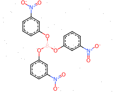 O=[N+]([O-])c1cccc(OB(Oc2cccc([N+](=O)[O-])c2)Oc2cccc([N+](=O)[O-])c2)c1